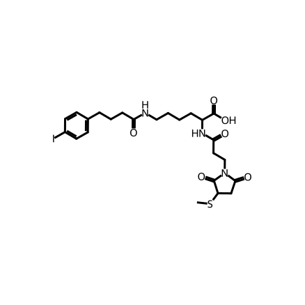 CSC1CC(=O)N(CCC(=O)NC(CCCCNC(=O)CCCc2ccc(I)cc2)C(=O)O)C1=O